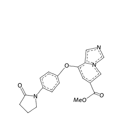 COC(=O)c1cc(Oc2ccc(N3CCCC3=O)cc2)c2cncn2c1